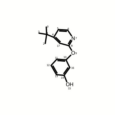 CC(C)(C)c1ccnc(Oc2cccc(O)c2)c1